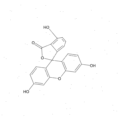 O=C1OC2(c3ccc(O)cc3Oc3cc(O)ccc32)c2cccc(O)c21